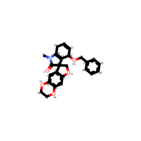 CN1C(=O)C2(COc3cc4c(cc32)OCCO4)C2=C1CC=CC2OCc1ccccc1